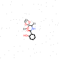 CCO[Si](OCC)(OCC)C(CC)NC(=O)c1ccccc1O